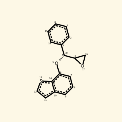 c1ccc([C@@H](Oc2cccc3ccsc23)C2CO2)cc1